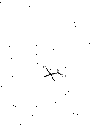 CCC(C)(C)NC#N